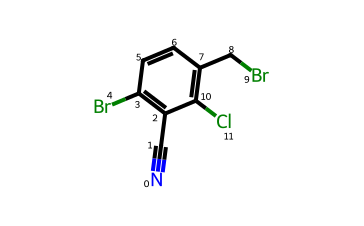 N#Cc1c(Br)ccc(CBr)c1Cl